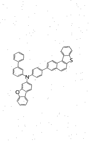 c1ccc(-c2cccc(N(c3ccc(-c4ccc5c(ccc6sc7ccccc7c65)c4)cc3)c3ccc4c(c3)oc3ccccc34)c2)cc1